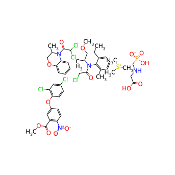 CC1COc2ccccc2N1C(=O)C(Cl)Cl.CCc1cccc(C)c1N(C(=O)CCl)C(C)COC.COC(=O)c1cc(Oc2ccc(Cl)cc2Cl)ccc1[N+](=O)[O-].C[S+](C)C.O=C(O)CNCP(=O)([O-])O